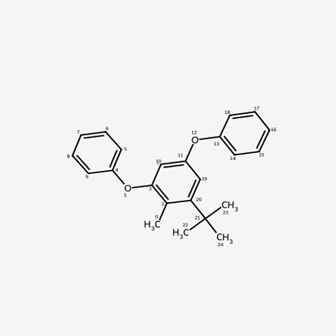 Cc1c(Oc2ccccc2)[c]c(Oc2ccccc2)cc1C(C)(C)C